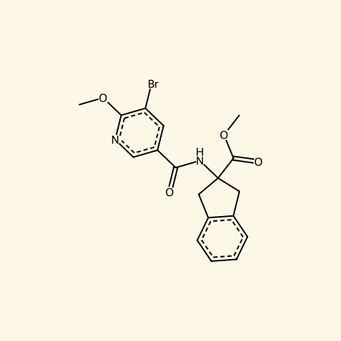 COC(=O)C1(NC(=O)c2cnc(OC)c(Br)c2)Cc2ccccc2C1